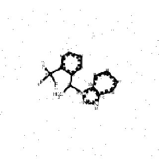 CC(c1ccccc1C(F)(F)F)n1nnc2ccccc21